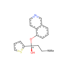 CNCC[C@@](O)(Oc1cccc2cnccc12)c1cccs1